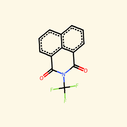 O=C1c2cccc3cccc(c23)C(=O)N1C(F)(F)F